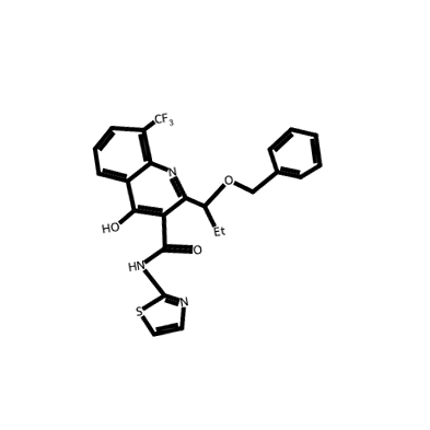 CCC(OCc1ccccc1)c1nc2c(C(F)(F)F)cccc2c(O)c1C(=O)Nc1nccs1